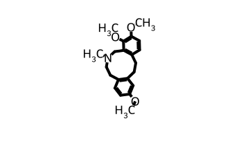 COc1ccc2c(c1)CCc1ccc(OC)c(OC)c1CN(C)CC2